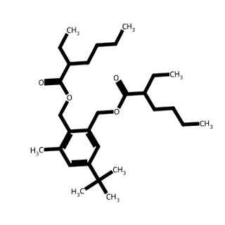 CCCCC(CC)C(=O)OCc1cc(C(C)(C)C)cc(C)c1COC(=O)C(CC)CCCC